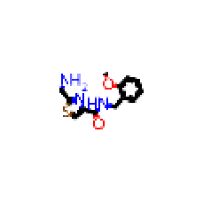 COc1ccccc1CNC(=O)c1csc(CN)n1